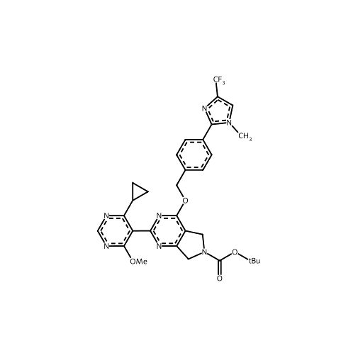 COc1ncnc(C2CC2)c1-c1nc2c(c(OCc3ccc(-c4nc(C(F)(F)F)cn4C)cc3)n1)CN(C(=O)OC(C)(C)C)C2